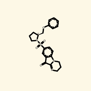 O=C1C2=NCCCN2c2ccc(S(=O)(=O)N3CCC[C@H]3COc3ccccc3)cc21